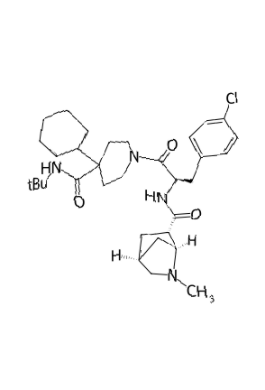 CN1C[C@H]2C[C@H](C(=O)N[C@H](Cc3ccc(Cl)cc3)C(=O)N3CCC(C(=O)NC(C)(C)C)(C4CCCCC4)CC3)[C@@H]1C2